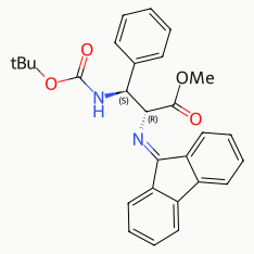 COC(=O)[C@H](N=C1c2ccccc2-c2ccccc21)[C@@H](NC(=O)OC(C)(C)C)c1ccccc1